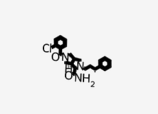 NC(=O)C1[C@@H]2CN(C(=O)c3ccccc3Cl)CC2CN1CC[CH]c1ccccc1